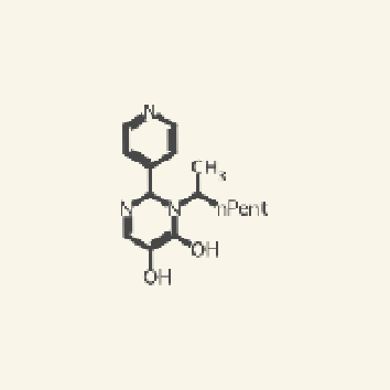 CCCCCC(C)N1C(O)=C(O)C=NC1c1ccncc1